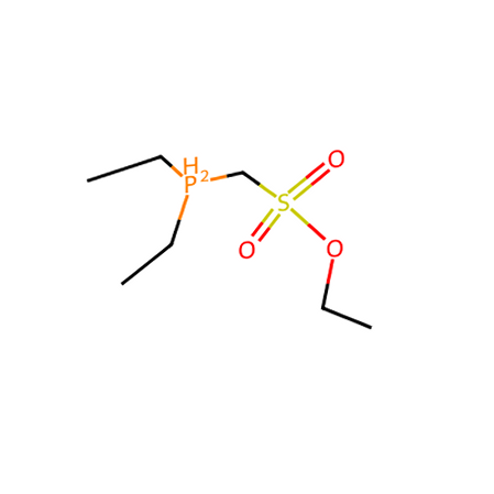 CCOS(=O)(=O)C[PH2](CC)CC